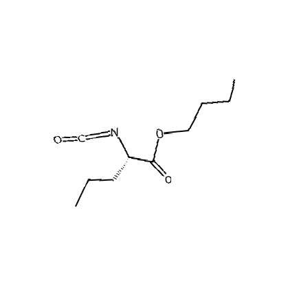 CCCCOC(=O)[C@H](CCC)N=C=O